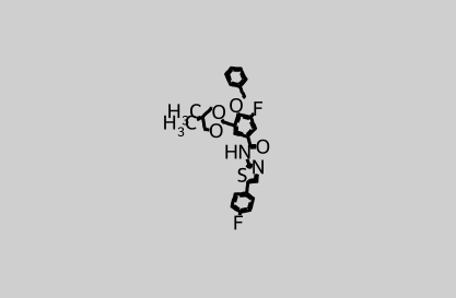 CC1(C)COC(c2cc(C(=O)Nc3ncc(-c4ccc(F)cc4)s3)cc(F)c2OCc2ccccc2)OC1